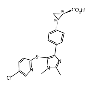 Cc1nc(-c2ccc([C@@H]3C[C@H]3C(=O)O)cc2)c(Sc2ccc(Cl)cn2)n1C